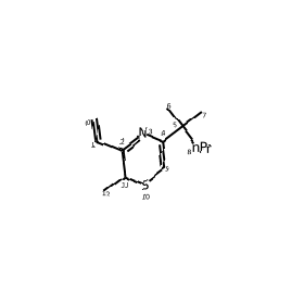 C=CC1=NC(C(C)(C)CCC)=CSC1C